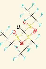 [Li][C](S(=O)(=O)C(F)(F)C(F)(F)C(F)(F)F)(S(=O)(=O)C(F)(F)C(F)(F)C(F)(F)F)S(=O)(=O)C(F)(F)C(F)(F)C(F)(F)F